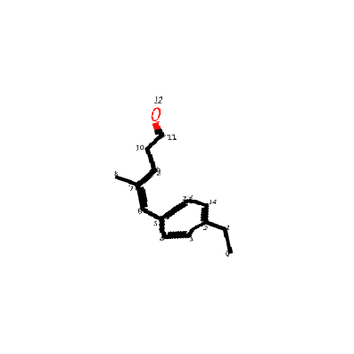 CCc1ccc(C=C(C)CCC=O)cc1